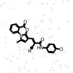 Cc1cc(/C=C(\C#N)C(=O)Nc2ccc(Cl)cc2)c2oc(=O)c3ccccc3n12